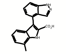 Cc1cccc2c(-c3cccc4[nH]ncc34)c(C(=O)O)[nH]c12